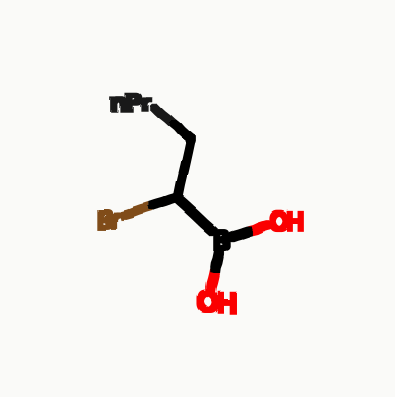 CCCCC(Br)B(O)O